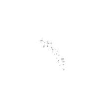 CCC[SiH]1CCC(CCc2ccc(-c3cc(F)c(OCC(F)F)c(F)c3)cc2)CC1